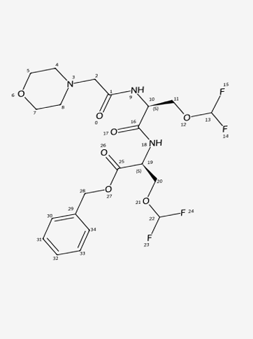 O=C(CN1CCOCC1)N[C@@H](COC(F)F)C(=O)N[C@@H](COC(F)F)C(=O)OCc1ccccc1